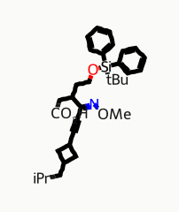 CON=C(C#CC1CC(CC(C)C)C1)C(CCO[Si](c1ccccc1)(c1ccccc1)C(C)(C)C)CC(=O)O